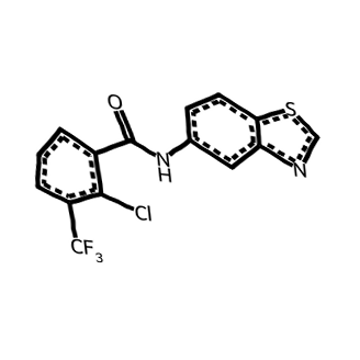 O=C(Nc1ccc2scnc2c1)c1cccc(C(F)(F)F)c1Cl